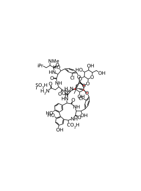 CNC(CC(C)C)C(=O)NC1C(=O)NC(CC(N)=O)C(=O)NC2C(=O)NC3C(=O)NC(C(=O)NC(C(=O)O)c4cc(O)cc(O)c4-c4cc3ccc4O)C(O)c3ccc(c(Cl)c3)Oc3cc2cc(c3OC2OC(CO)C(O)C(O)C2OC2CC(C)(N)C(O)C(C)O2)Oc2ccc(cc2Cl)C1O.CS(=O)(=O)O